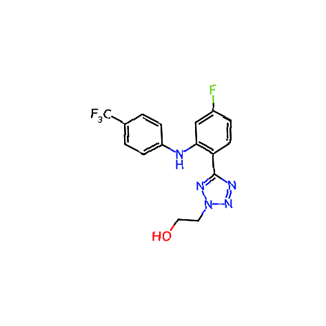 OCCn1nnc(-c2ccc(F)cc2Nc2ccc(C(F)(F)F)cc2)n1